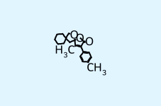 CC1=C(c2ccc(C)cc2)C(=O)OC12CC1(CCCCC1)CO2